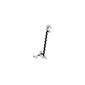 CCOC(=O)CCCCCCCCCCCCCCC(CC)C(=O)OCC